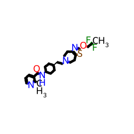 Cc1ncccc1C(=O)N[C@H]1CC[C@H](CCN2CCc3nc(OCC(C)(F)F)sc3CC2)CC1